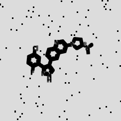 CN(C)[C@H]1CCN(c2cnc3ccc(-c4c[nH]nc4-c4cc(Cl)ccc4F)cc3c2)C1